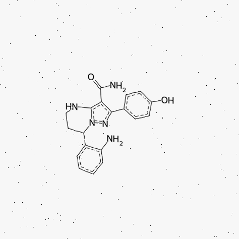 NC(=O)c1c(-c2ccc(O)cc2)nn2c1NCCC2c1ccccc1N